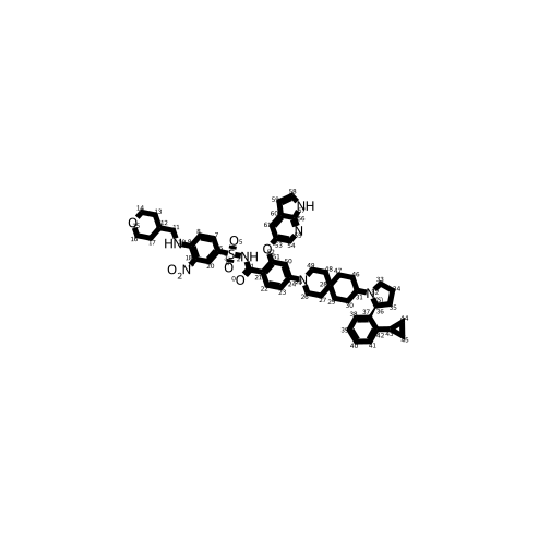 O=C(NS(=O)(=O)c1ccc(NCC2CCOCC2)c([N+](=O)[O-])c1)c1ccc(N2CCC3(CCC(N4CCC[C@H]4c4ccccc4C4CC4)CC3)CC2)cc1Oc1cnc2[nH]ccc2c1